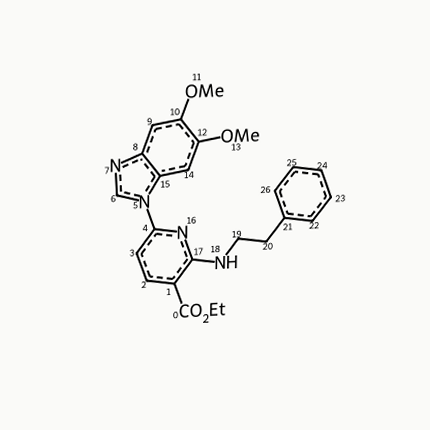 CCOC(=O)c1ccc(-n2cnc3cc(OC)c(OC)cc32)nc1NCCc1ccccc1